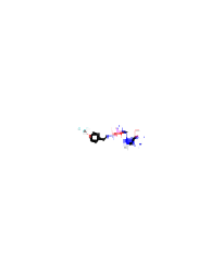 Cn1cnc2c(C#N)nn(CC(=N)OC(=O)NCCc3ccc(OC(F)F)cc3)c2c1=O